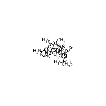 CCC(=O)O[C@@H]1[C@@]2(OC(=O)CC)C(OP(=O)(N[C@@H](C)C(=O)OCC3CC3)Oc3ccc(C(C)(C)C)cc3)[C@H]2O[C@@]1(C#N)c1ccc2c(N)ncnn12